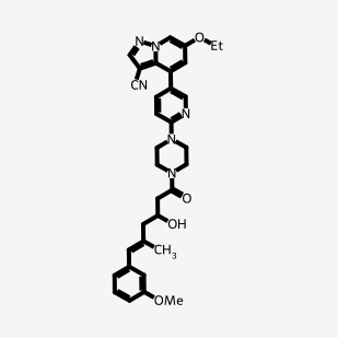 CCOc1cc(-c2ccc(N3CCN(C(=O)CC(O)C/C(C)=C/c4cccc(OC)c4)CC3)nc2)c2c(C#N)cnn2c1